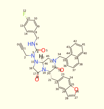 C#CCN(C(=O)NCc1ccc(F)cc1)N1CC(=O)N2[C@@H](Cc3ccc4occc4c3)C(=O)N(Cc3cccc4ccccc34)C[C@@H]21